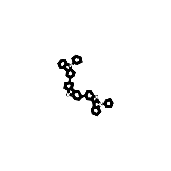 c1ccc(-n2c3ccccc3c3cc(-c4ccc5oc6ccc(-c7ccc8oc9c(c8c7)c7ccccc7n9-c7ccccc7)cc6c5c4)ccc32)cc1